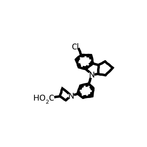 O=C(O)C1CN(c2cccc(N3c4ccc(Cl)cc4C4CCCC43)c2)C1